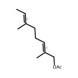 C/C=C(\C)CC/C=C(\C)COC(C)=O